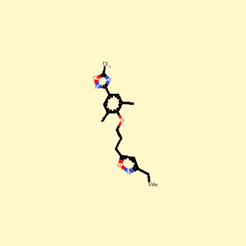 CSCc1cc(CCCOc2c(C)cc(-c3noc(C(F)(F)F)n3)cc2C)on1